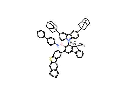 CC1(C)c2ccccc2-c2cc3c4c(c21)-n1c2ccc(C56CC7CC(CC(C7)C5)C6)cc2c2cc(C56CC7CC(CC(C7)C5)C6)cc(c21)B4N(c1ccc(-c2ccccc2)cc1)c1cc2sc4cc5ccccc5cc4c2cc1-3